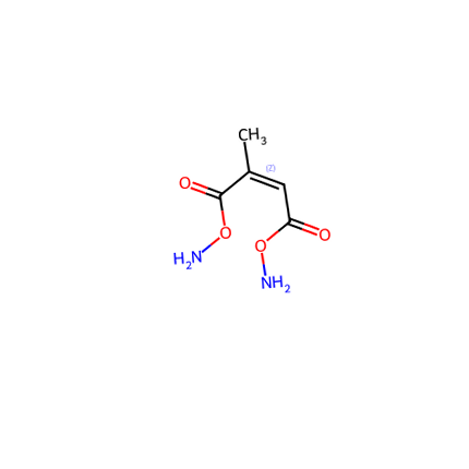 C/C(=C/C(=O)ON)C(=O)ON